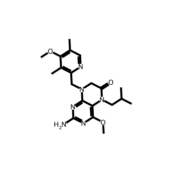 COc1nc(N)nc2c1N(CC(C)C)C(=O)CN2Cc1ncc(C)c(OC)c1C